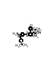 Cc1cc2nc(-c3ccc4c(c3)c(C3CCN(C(C)C)CC3)nn4C)sc2c(-c2ccc(Cl)cc2)c1C(OC(C)(C)C)C(=O)O